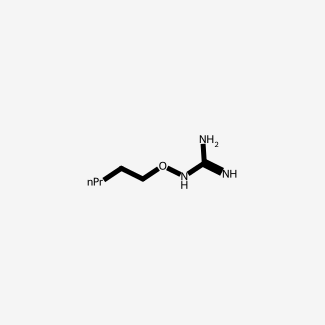 CCCCCONC(=N)N